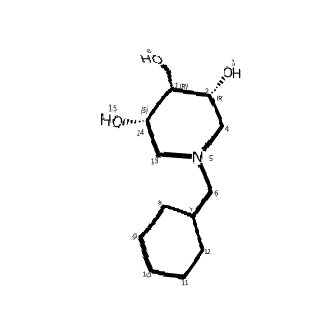 O[C@H]1[C@H](O)CN(CC2CCCCC2)C[C@@H]1O